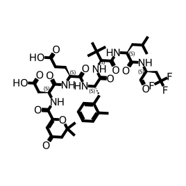 Cc1ccccc1C[C@H](NC(=O)[C@H](CCC(=O)O)NC(=O)[C@H](CC(=O)O)NC(=O)C1=CC(=O)CC(C)(C)O1)C(=O)N[C@H](C(=O)N[C@@H](CC(C)C)C(=O)N[C@H](C=O)CC(F)(F)F)C(C)(C)C